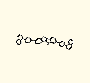 c1ccc2c(-c3ccc(-c4ccc5c(c4)sc4c6ccc(-c7ccc(-c8cccc9ccccc89)cc7)cc6sc54)cc3)cccc2c1